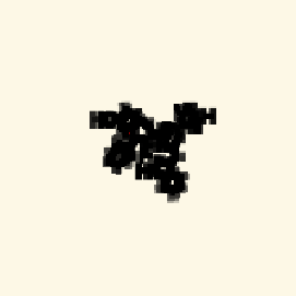 CN1C2CCC1CC(C(=O)NC(Cc1ccc(O)cc1)C(=O)NC(CNc1nn[nH]n1)Cc1c[nH]c3ccccc13)C2